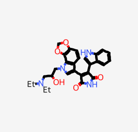 CCN(CC)CC(O)Cn1cc(C2=C(c3c[nH]c4ccccc34)C(=O)NC2=O)c2ccc3c(c21)OCO3